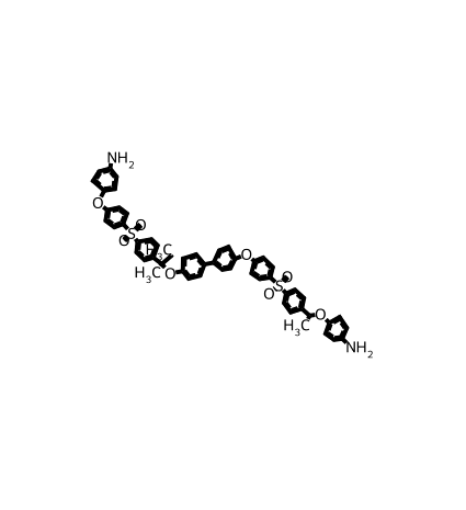 CCC(C)(Oc1ccc(-c2ccc(Oc3ccc(S(=O)(=O)c4ccc(C(C)Oc5ccc(N)cc5)cc4)cc3)cc2)cc1)c1ccc(S(=O)(=O)c2ccc(Oc3ccc(N)cc3)cc2)cc1